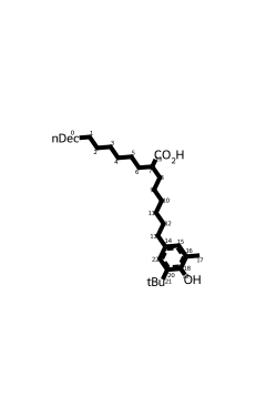 CCCCCCCCCCCCCCCCC(CCCCCCc1cc(C)c(O)c(C(C)(C)C)c1)C(=O)O